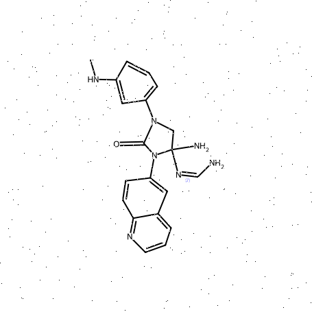 CNc1cccc(N2CC(N)(/N=C\N)N(c3ccc4ncccc4c3)C2=O)c1